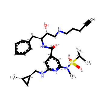 C#CCCCNC[C@@H](O)[C@H](Cc1ccccc1)NC(=O)c1cc(NC[C@H]2C[C@@H]2C)nc(N(C)S(=O)(=O)C(C)C)c1